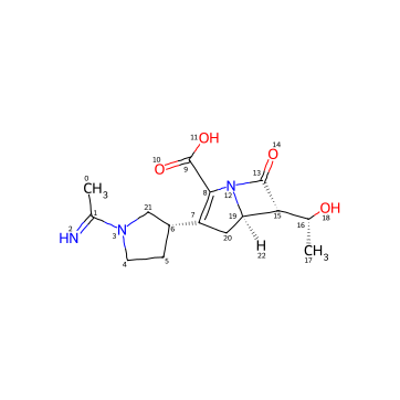 CC(=N)N1CC[C@@H](C2=C(C(=O)O)N3C(=O)[C@H]([C@@H](C)O)[C@H]3C2)C1